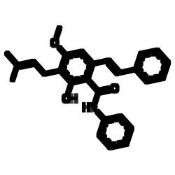 COc1cc(/C=C/c2ccccc2)c(C(=O)Nc2ccccc2)c(O)c1CC=C(C)C